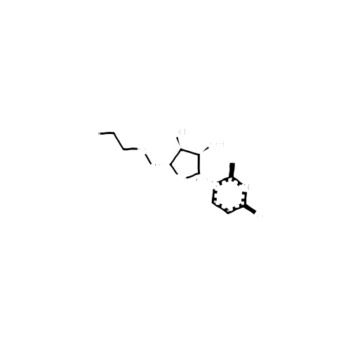 O=c1ccn([C@@H]2O[C@H](COCCO)[C@@H](O)[C@H]2O)c(=O)[nH]1